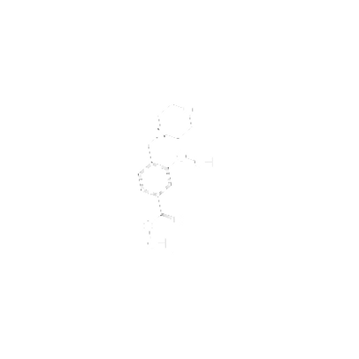 COC(=O)c1ccc(CN2CCOCC2)c(OC)c1